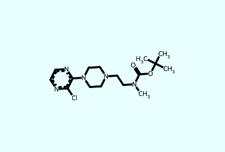 CN(CCN1CCN(c2nccnc2Cl)CC1)C(=O)OC(C)(C)C